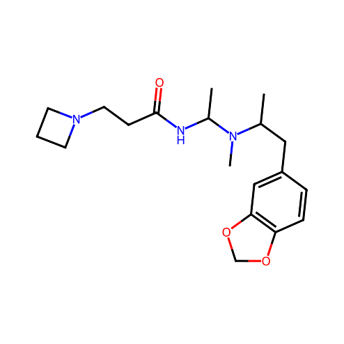 CC(Cc1ccc2c(c1)OCO2)N(C)C(C)NC(=O)CCN1CCC1